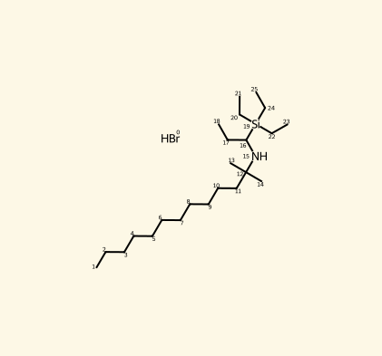 Br.CCCCCCCCCCCC(C)(C)NC(CC)[Si](CC)(CC)CC